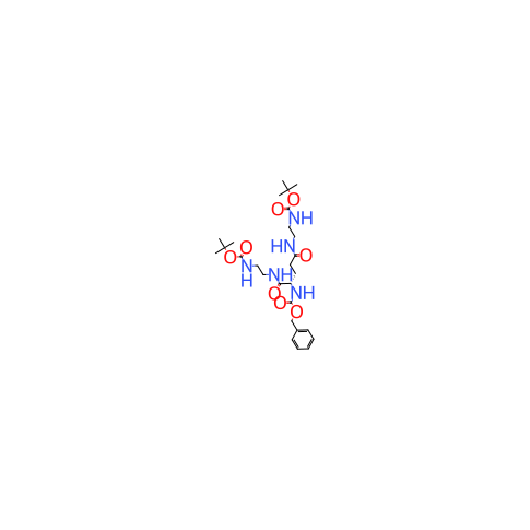 CC(C)(C)OC(=O)NCCNC(=O)CC[C@H](NC(=O)OCc1ccccc1)C(=O)NCCNC(=O)OC(C)(C)C